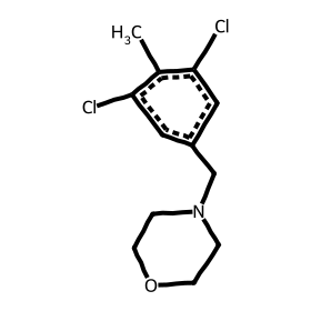 Cc1c(Cl)cc(CN2CCOCC2)cc1Cl